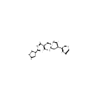 Nc1nc(C2CCCC2)ncc1CN1CCC(c2cccnc2)CC1